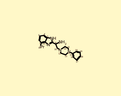 CC(C)c1cccc2[nH]c(C(N)CN3CCN(c4ccccc4)CC3)nc12